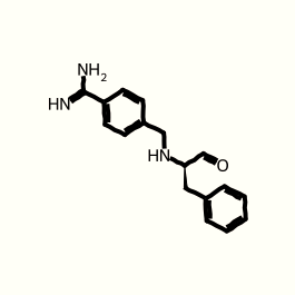 N=C(N)c1ccc(CN[C@@H](C=O)Cc2ccccc2)cc1